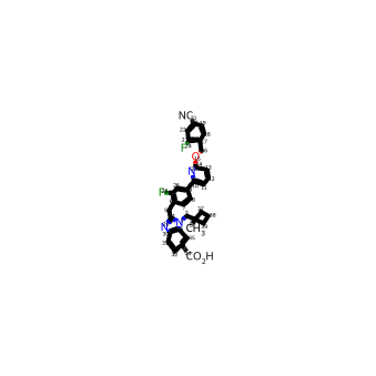 CC1(Cn2c(Cc3ccc(-c4cccc(OCc5ccc(C#N)cc5F)n4)cc3F)nc3ccc(C(=O)O)cc32)CCC1